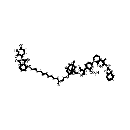 Cc1c(Nc2nc3ccccc3s2)nnc2c1CCCN2c1ccc(-c2cnn(CC34CC5(C)CC(C)(C3)CC(OCCN(C)CCCCCCCCCCOc3cccc6c3C(=O)N(C3CCC(=O)NC3=O)C6=O)(C5)C4)c2C)c(C(=O)O)n1